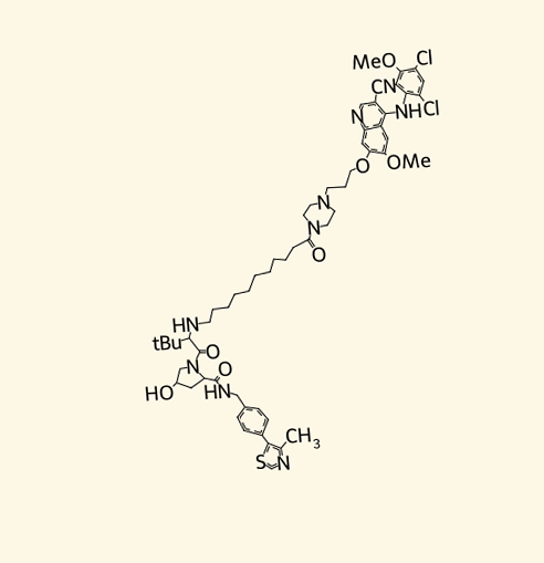 COc1cc(Nc2c(C#N)cnc3cc(OCCCN4CCN(C(=O)CCCCCCCCCCNC(C(=O)N5CC(O)CC5C(=O)NCc5ccc(-c6scnc6C)cc5)C(C)(C)C)CC4)c(OC)cc23)c(Cl)cc1Cl